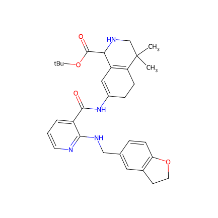 CC(C)(C)OC(=O)C1NCC(C)(C)C2=C1C=C(NC(=O)c1cccnc1NCc1ccc3c(c1)CCO3)CC2